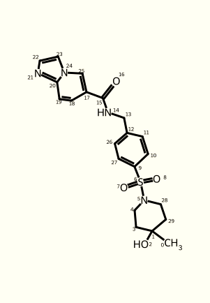 CC1(O)CCN(S(=O)(=O)c2ccc(CNC(=O)c3ccc4nccn4c3)cc2)CC1